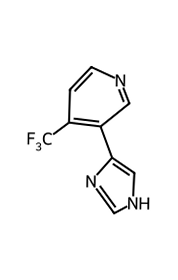 FC(F)(F)c1ccncc1-c1c[nH]cn1